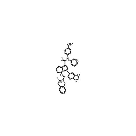 C[C@@H]1Cc2ccccc2CN1C(=O)c1cc2c(cc1-c1cc(C(=O)N(c3ccc(O)cc3)c3cccnc3)c3ccccn13)OCO2